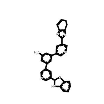 Cc1cc(-c2cncc(-c3nc4c(s3)CCC=C4)c2)cc(-c2cncc(C3Nc4ccccc4S3)c2)c1